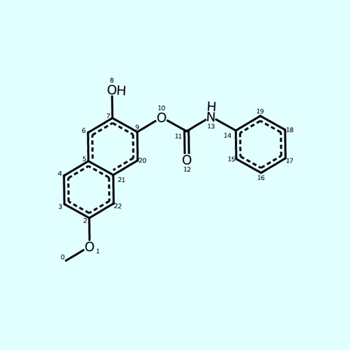 COc1ccc2cc(O)c(OC(=O)Nc3ccccc3)cc2c1